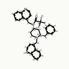 O=C(N(Cc1ccnc2ccccc12)[C@H]1CCN(Cc2ccnc3ccccc23)[C@H](Cc2ccccc2)C1)C(F)(F)F